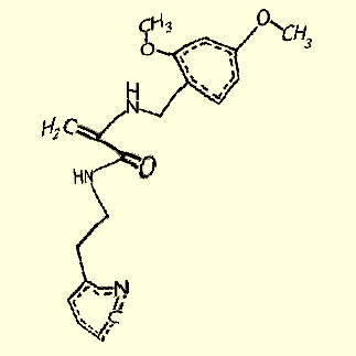 C=C(NCc1ccc(OC)cc1OC)C(=O)NCCc1ccccn1